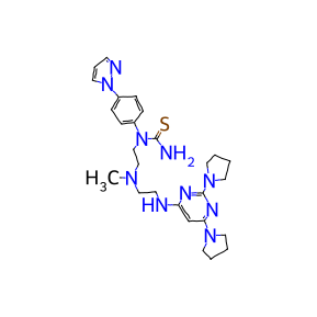 CN(CCNc1cc(N2CCCC2)nc(N2CCCC2)n1)CCN(C(N)=S)c1ccc(-n2cccn2)cc1